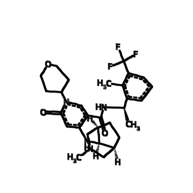 Cc1c([C@@H](C)NC(=O)c2cn(C3CCOCC3)c(=O)cc2N[C@H]2[C@@H]3CC[C@H]2CN(C)C3)cccc1C(F)(F)F